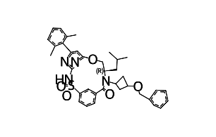 Cc1cccc(C)c1-c1cc2nc(n1)NS(=O)(=O)c1cccc(c1)C(=O)N(C1CC(OCc3ccccc3)C1)[C@H](CC(C)C)CO2